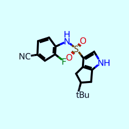 CC(C)(C)C1Cc2[nH]cc(S(=O)(=O)Nc3ccc(C#N)cc3F)c2C1